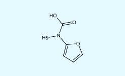 O=C(O)N(S)c1ccco1